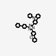 c1ccc(-c2ccc(-c3nc(-c4ccc5c(c4)oc4ccccc45)nc(-c4ccc5c6ccccc6n(-c6ccccc6)c5c4)n3)cc2)cc1